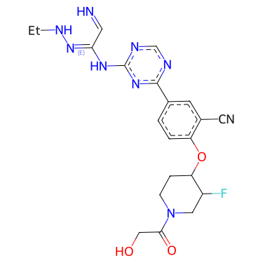 CCN/N=C(\C=N)Nc1ncnc(-c2ccc(OC3CCN(C(=O)CO)CC3F)c(C#N)c2)n1